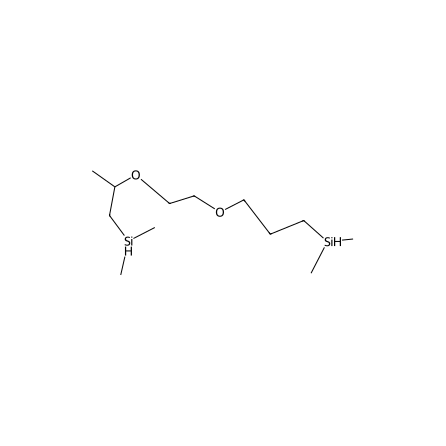 CC(C[SiH](C)C)OCCOCCC[SiH](C)C